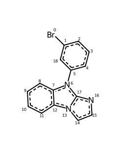 Brc1cccc(-n2c3ccccc3n3ccnc23)c1